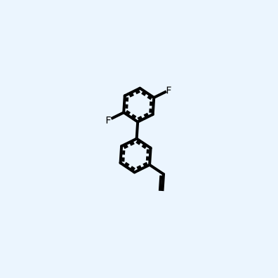 C=Cc1cccc(-c2cc(F)ccc2F)c1